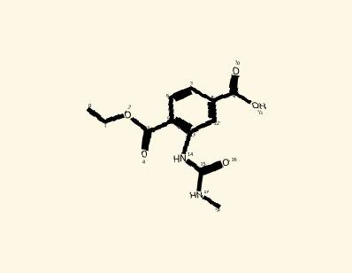 CCOC(=O)c1ccc(C(=O)O)cc1NC(=O)NC